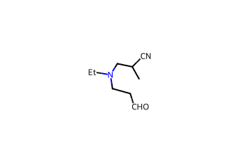 CCN(CCC=O)CC(C)C#N